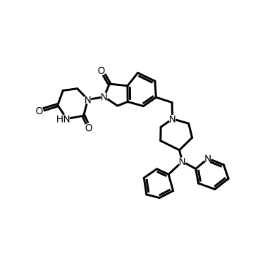 O=C1CCN(N2Cc3cc(CN4CCC(N(c5ccccc5)c5ccccn5)CC4)ccc3C2=O)C(=O)N1